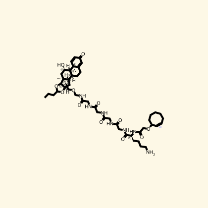 CCCC1O[C@@H]2C[C@H]3[C@@H]4CCC5=CC(=O)C=C[C@]5(C)[C@H]4[C@@H](O)C[C@]3(C)[C@]2(C(=O)COCNC(=O)CNC(=O)CNC(=O)CNC(=O)CNC(=O)[C@H](CCCCN)NC(=O)COC2/C=C\CCCCC2)O1